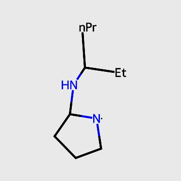 CCCC(CC)NC1CCC[N]1